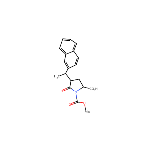 CC(c1ccc2ccccc2c1)C1CC(C(=O)O)N(C(=O)OC(C)(C)C)C1=O